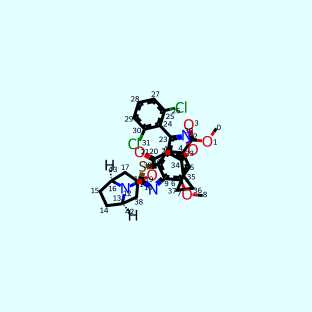 COC(=O)c1cc(OC)c2nc(N3[C@@H]4CC[C@H]3CC(OC(=O)c3c(-c5c(Cl)cccc5Cl)noc3C3CC3)C4)sc2c1